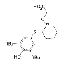 CC(C)(C)c1cc(SC2CCCC[C@H]2OCC(=O)O)cc(C(C)(C)C)c1O